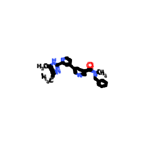 Cc1nc(-c2cc(-c3cncc(C(=O)N(C)Cc4ccccc4)c3)ccn2)[nH]c1C